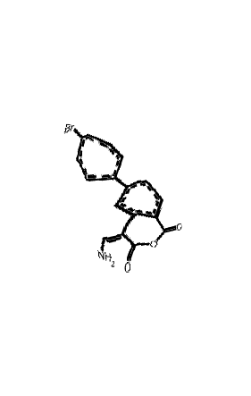 NC=C1C(=O)OC(=O)c2ccc(-c3ccc(Br)cc3)cc21